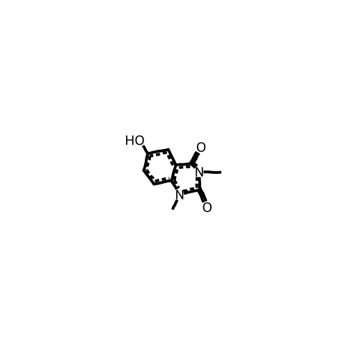 Cn1c(=O)c2cc(O)ccc2n(C)c1=O